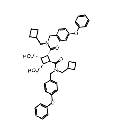 O=C(O)[C@H]1[C@H](C(=O)O)[C@H](C(=O)N(Cc2ccc(Oc3ccccc3)cc2)CC2CCC2)[C@H]1C(=O)N(Cc1ccc(Oc2ccccc2)cc1)CC1CCC1